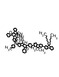 CCCCCCCC1(CCCCCCC)c2ccccc2-c2ccc(-c3ccc4c(c3)C(C)(C)c3cc(-c5ccc(-c6cc7c(c8c6oc6ccccc68)-c6ccc(N(c8ccc(C)cc8)c8ccc9c(c8)C(C)(C)c8c%10c(c%11oc%12ccccc%12c%11c8-9)-c8ccccc8C%10(C)C)cc6C7(C)C)cc5)ccc3-4)cc21